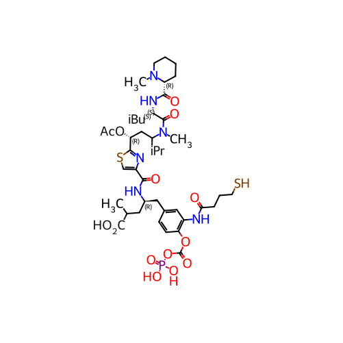 CC[C@H](C)[C@H](NC(=O)[C@H]1CCCCN1C)C(=O)N(C)C(C[C@@H](OC(C)=O)c1nc(C(=O)N[C@@H](Cc2ccc(OC(=O)OP(=O)(O)O)c(NC(=O)CCCS)c2)CC(C)C(=O)O)cs1)C(C)C